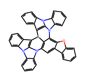 c1ccc2c(c1)oc1c3c4c(cc12)-n1c2ccccc2n2c5ccccc5c(c12)B4c1c2ccccc2n2c4ccccc4n-3c12